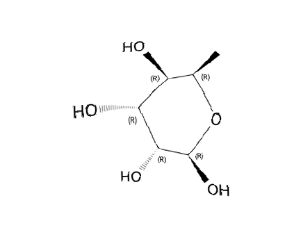 C[C@H]1O[C@@H](O)[C@H](O)[C@H](O)[C@H]1O